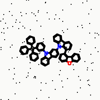 c1ccc([Si](c2ccccc2)(c2ccccc2)c2cccc(-n3c4ccccc4c4ccc(-n5c6ccccc6c6cccc(-c7cccc8oc9ccccc9c78)c65)cc43)c2)cc1